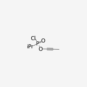 CC#COP(=O)(Cl)C(C)C